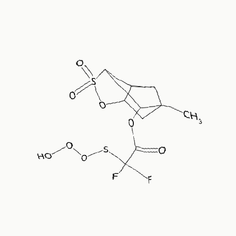 CC12CC3OS(=O)(=O)C(C3C1)C2OC(=O)C(F)(F)SOOO